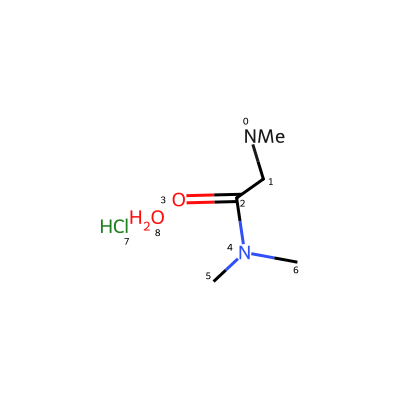 CNCC(=O)N(C)C.Cl.O